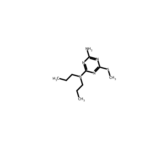 CCCN(CCC)c1nc(N)nc(SC)n1